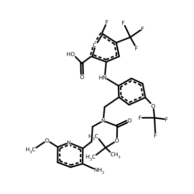 COc1ccc(N)c(CCN(Cc2cc(OC(F)(F)F)ccc2Nc2cc(C(F)(F)F)c(F)cc2C(=O)O)C(=O)OC(C)(C)C)n1